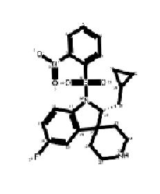 O=[N+]([O-])c1ccccc1S(=O)(=O)N1c2ccc(F)cc2C2(CCNCC2)[C@H]1CC1CC1